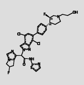 O=C(Nc1nccs1)C(c1ncn2c1CC(F)C2)n1cc2c(Cl)cc(-c3ccc([C@H]4CCN(CCO)C[C@@H]4F)cc3)c(Cl)c2n1